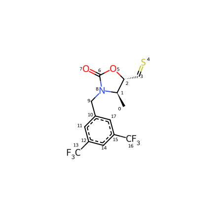 C[C@@H]1[C@@H](C=S)OC(=O)N1Cc1cc(C(F)(F)F)cc(C(F)(F)F)c1